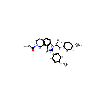 COC(=O)N1CCc2ccc3c(nc([C@H]4CC[C@H](C(=O)O)CC4)n3[C@H](C)C[C@H]3CC[C@@H](OC)CC3)c2C1